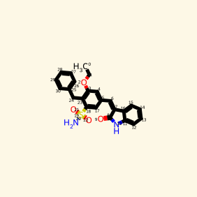 CCOc1cc(/C=C2\C(=O)Nc3ccccc32)cc(S(N)(=O)=O)c1Cc1ccccc1